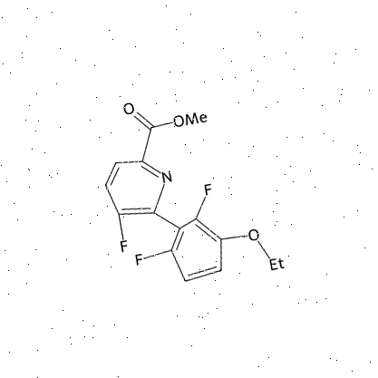 CCOc1ccc(F)c(-c2nc(C(=O)OC)ccc2F)c1F